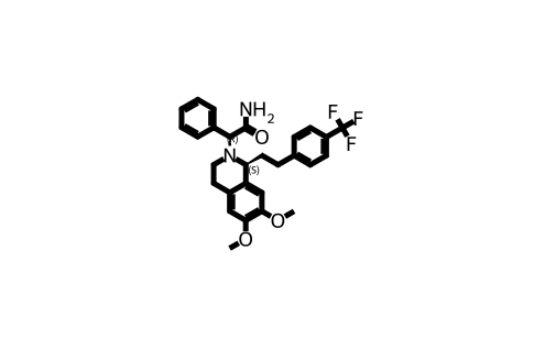 COc1cc2c(cc1OC)[C@H](CCc1ccc(C(F)(F)F)cc1)N([C@@H](C(N)=O)c1ccccc1)CC2